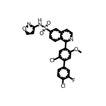 COc1cc(-c2ccc(Cl)c(F)c2)c(Cl)cc1-c1nccc2cc(S(=O)(=O)Nc3ccon3)ccc12